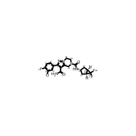 NC(=O)c1c(-c2ccc(F)c(Cl)c2)nn2c1CN(C(=O)N[C@@H]1C[C@@H]3[C@H](C1)C3(F)F)CC2